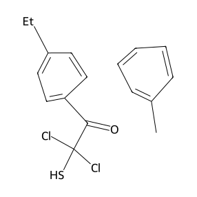 CCc1ccc(C(=O)C(S)(Cl)Cl)cc1.Cc1ccccc1